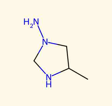 CC1CN(N)CN1